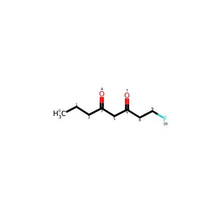 CCCC(=O)CC(=O)CCF